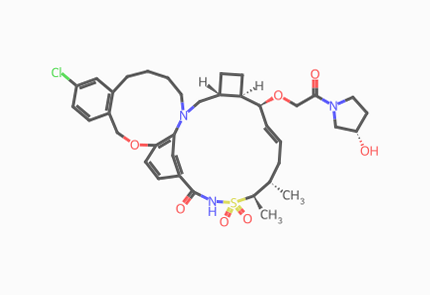 C[C@@H]1[C@@H](C)C/C=C/[C@H](OCC(=O)N2CC[C@H](O)C2)[C@@H]2CC[C@H]2CN2CCCCc3cc(Cl)ccc3COc3ccc(cc32)C(=O)NS1(=O)=O